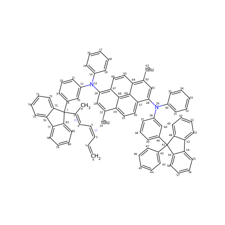 C=C/C=C\C=C(/C)C1(c2cccc(N(c3ccccc3)c3cc(C(C)(C)C)c4ccc5c(N(c6ccccc6)c6cccc(C7(c8ccccc8)c8ccccc8-c8ccccc87)c6)cc(C(C)(C)C)c6ccc3c4c56)c2)c2ccccc2-c2ccccc21